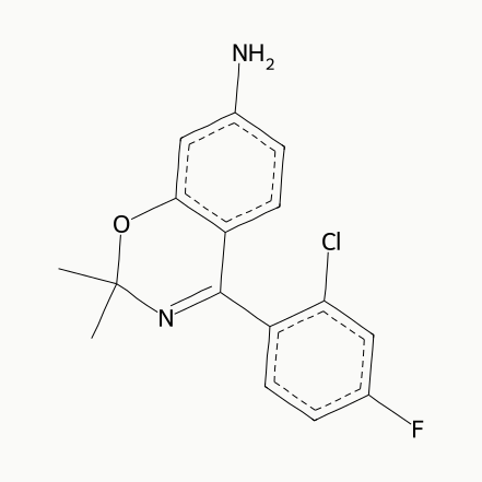 CC1(C)N=C(c2ccc(F)cc2Cl)c2ccc(N)cc2O1